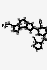 Cn1nccc1Nc1ncc(Cl)c(-c2cc3c4nnc(CC(F)(F)F)n4ccn3c2)n1